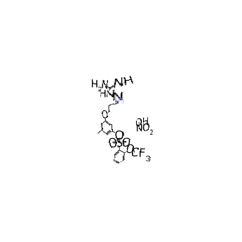 Cc1cc(OCC/C=N\NC(=N)N)cc(OS(=O)(=O)c2ccccc2OC(F)(F)F)c1.O=[N+]([O-])O